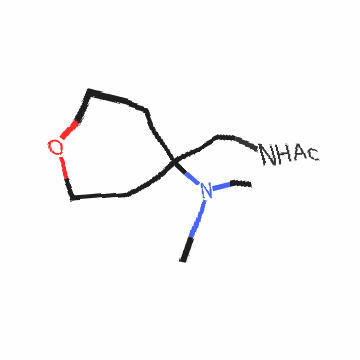 CC(=O)NCC1(N(C)C)CCOCC1